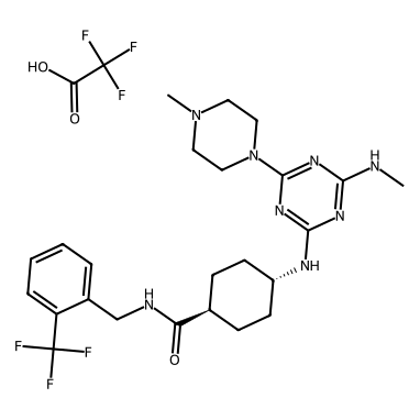 CNc1nc(N[C@H]2CC[C@H](C(=O)NCc3ccccc3C(F)(F)F)CC2)nc(N2CCN(C)CC2)n1.O=C(O)C(F)(F)F